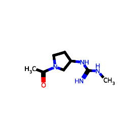 CNC(=N)NC1CCN(C(C)=O)C1